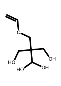 C=COCC(CO)(CO)C(O)O